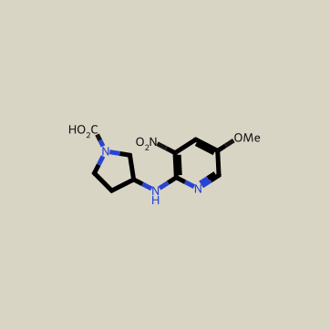 COc1cnc(NC2CCN(C(=O)O)C2)c([N+](=O)[O-])c1